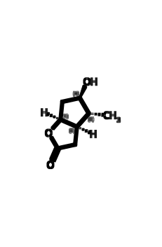 C[C@@H]1[C@H]2CC(=O)O[C@H]2C[C@H]1O